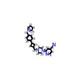 N#Cc1ccnc(N2CCN(CC3CC(c4ccc(CN5CCCC5)cc4)C3)CC2)c1